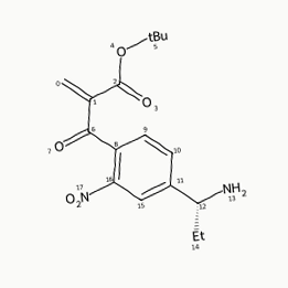 C=C(C(=O)OC(C)(C)C)C(=O)c1ccc([C@H](N)CC)cc1[N+](=O)[O-]